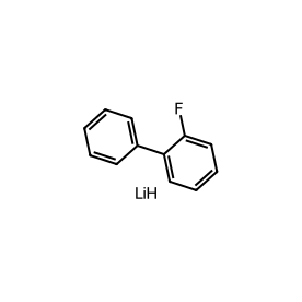 Fc1ccccc1-c1ccccc1.[LiH]